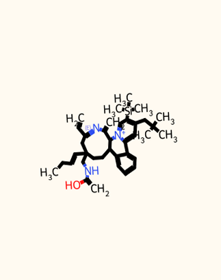 C=C/C1=N/C(=C)C2C(CCC(C=CCC)(CNC(=C)O)C1)c1ccccc1-c1cc(CC(C)(C)C)c([Si](C)(C)C)c[n+]12